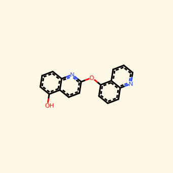 Oc1cccc2nc(Oc3cccc4ncccc34)ccc12